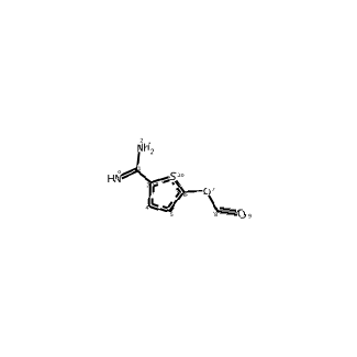 N=C(N)c1ccc(OC=O)s1